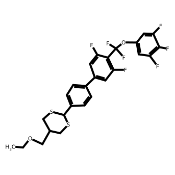 CCOCC1CSC(c2ccc(-c3cc(F)c(C(F)(F)Oc4cc(F)c(F)c(F)c4)c(F)c3)cc2)SC1